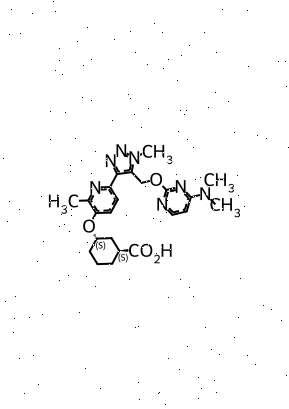 Cc1nc(-c2nnn(C)c2COc2nccc(N(C)C)n2)ccc1O[C@H]1CCC[C@H](C(=O)O)C1